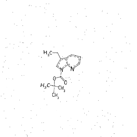 CCc1cn(C(=O)OC(C)(C)C)c2ncccc12